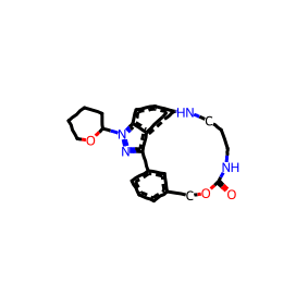 O=C1NCCCNc2ccc3c(c2)c(nn3C2CCCCO2)-c2cccc(c2)CO1